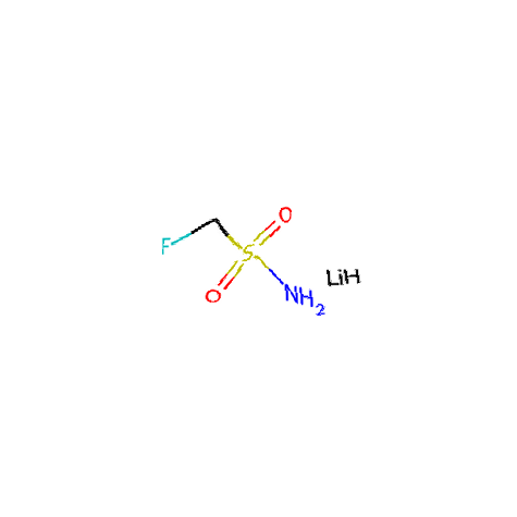 NS(=O)(=O)CF.[LiH]